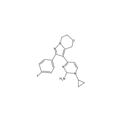 NC1N=C(c2c(-c3ccc(F)cc3)nn3c2COCC3)C=CN1C1CC1